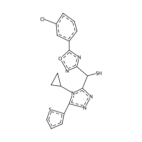 SC(c1noc(-c2cccc(Cl)c2)n1)c1nnc(-c2cccs2)n1C1CC1